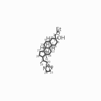 CCOC[C@@]1(O)CC[C@H]2[C@H](CC[C@@H]3[C@@H]2CC[C@]2(C)C([C@H](C)Cn4nccn4)CC[C@@H]32)C1